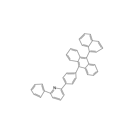 c1ccc(-c2cccc(-c3ccc(-c4c5ccccc5c(-c5cccc6ccccc56)c5ccccc45)cc3)n2)cc1